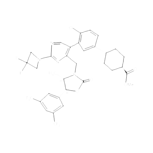 COC(=O)[C@H]1CC[C@H](c2ccc(Cl)c(-c3cnc(N4CC(F)(F)C4)nc3CN3C(=O)O[C@H](c4cc(C(F)(F)F)cc(C(F)(F)F)c4)[C@@H]3C)c2)CC1